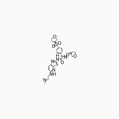 CN(C)CCNc1ccc2nc(NC(=O)/C(=N/O[C@@H]3CCOC3)c3ccc(S(=O)(=O)[C@H]4CCOC4)cc3)sc2n1